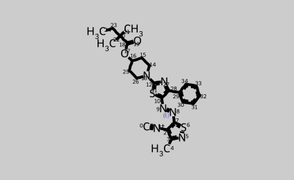 [C-]#[N+]c1c(C)nsc1/N=N/c1sc(N2CCC(OC(=O)C(C)(C)CC)CC2)nc1-c1ccccc1